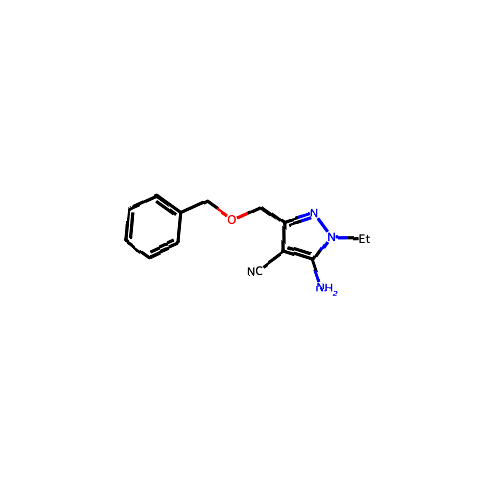 CCn1nc(COCc2ccccc2)c(C#N)c1N